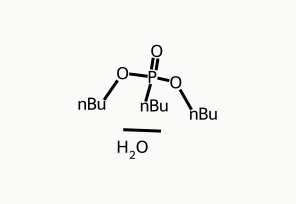 CC.CCCCOP(=O)(CCCC)OCCCC.O